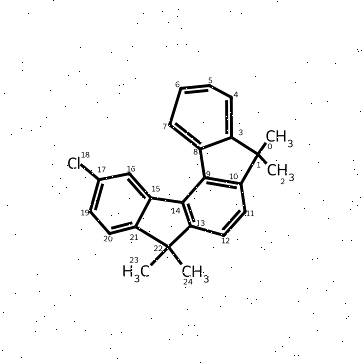 CC1(C)c2ccccc2-c2c1ccc1c2-c2cc(Cl)ccc2C1(C)C